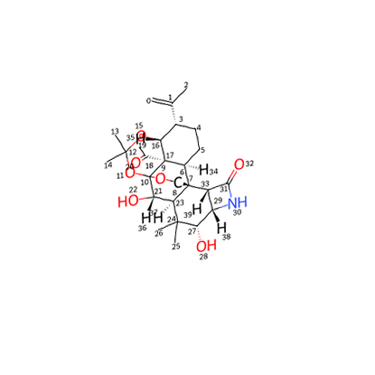 C=C(C)[C@@H]1CC[C@H]2[C@@]34COC5(OC(C)(C)O[C@H]1[C@@]25C(C)=O)[C@@H](O)[C@@H]3C(C)(C)[C@@H](O)[C@H]1NC(=O)[C@H]14